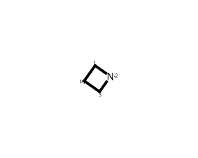 [CH]1C[N]C1